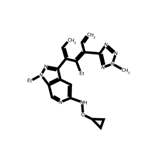 C=C/C(=C(CC)\C(=C/C)c1nn(CC)c2cnc(NOC3CC3)cc12)c1nnn(C)n1